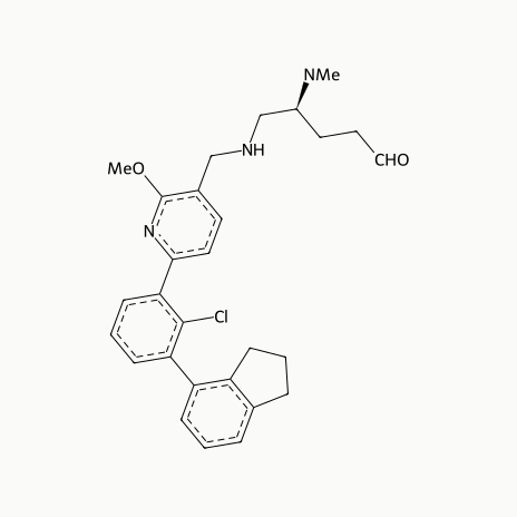 CN[C@@H](CCC=O)CNCc1ccc(-c2cccc(-c3cccc4c3CCC4)c2Cl)nc1OC